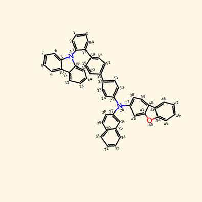 c1ccc(-n2c3ccccc3c3ccccc32)c(-c2ccc(-c3ccc(N(c4ccc5ccccc5c4)c4ccc5c(c4)oc4ccccc45)cc3)cc2)c1